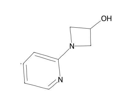 OC1CN(c2c[c]ccn2)C1